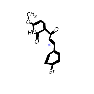 COc1ccc(C(=O)/C=C/c2ccc(Br)cc2)c(=O)[nH]1